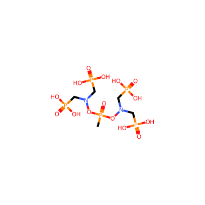 CP(=O)(ON(CP(=O)(O)O)CP(=O)(O)O)ON(CP(=O)(O)O)CP(=O)(O)O